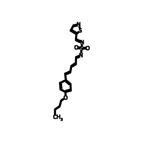 CCCCOc1ccc(C=CC=CC=NS(=O)(=O)N=Cc2ccns2)cc1